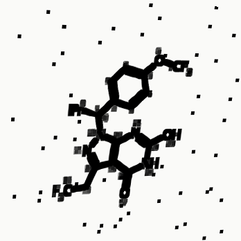 CC(C)[C@@H](c1ccc(OC(F)(F)F)cc1)n1nc(CC(F)(F)F)c2c(=O)[nH]c(O)nc21